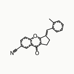 Cc1ccccc1C=C1CCc2c1oc1ccc(C#N)cc1c2=O